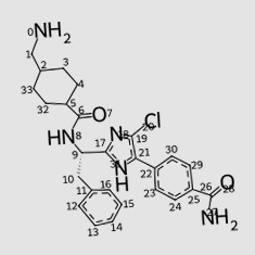 NCC1CCC(C(=O)N[C@@H](Cc2ccccc2)c2nc(Cl)c(-c3ccc(C(N)=O)cc3)[nH]2)CC1